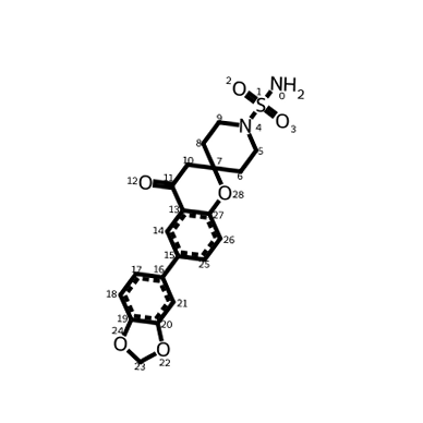 NS(=O)(=O)N1CCC2(CC1)CC(=O)c1cc(-c3ccc4c(c3)OCO4)ccc1O2